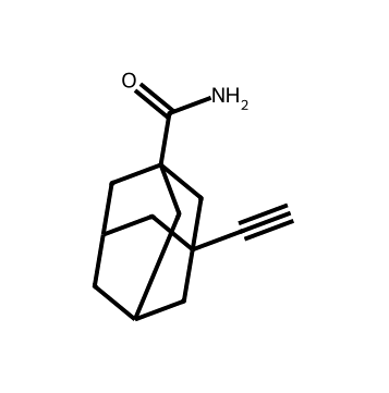 C#CC12CC3CC(C1)CC(C(N)=O)(C3)C2